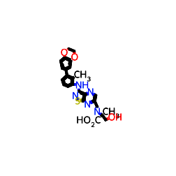 Cc1c(Nc2nsc3nc(C=NC(C)(CO)C(=O)O)cnc23)cccc1-c1ccc2c(c1)OCCO2